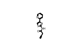 C#CCC(=O)Nc1nc(-c2ccccn2)cs1